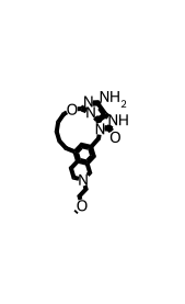 COCCN1CCc2c3cc(cc2C1)Cn1c(=O)[nH]c2c(N)nc(nc21)OCCCCC3